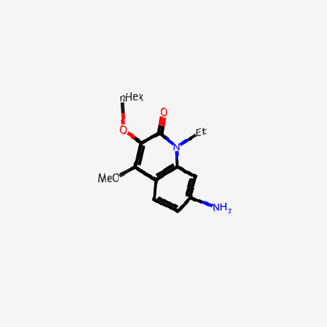 CCCCCCOc1c(OC)c2ccc(N)cc2n(CC)c1=O